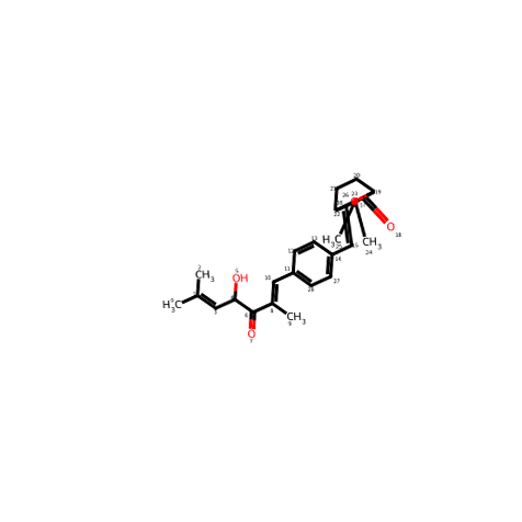 CC(C)=CC(O)C(=O)/C(C)=C/c1ccc(/C=C2/C(=O)C3CCC2C(C)(C)O3)cc1